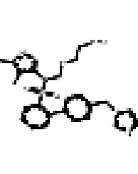 COCCOCN(c1onc(C)c1C)S(=O)(=O)c1ccccc1-c1ccc(Cn2ccnc2)cc1